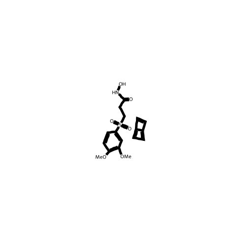 COc1ccc(S(=O)(=O)CCC(=O)NO)cc1OC.c1cc2ccc1-2